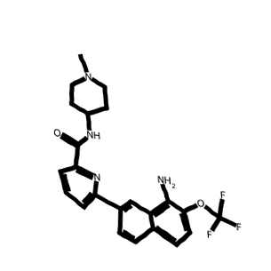 CN1CCC(NC(=O)c2cccc(-c3ccc4ccc(OC(F)(F)F)c(N)c4c3)n2)CC1